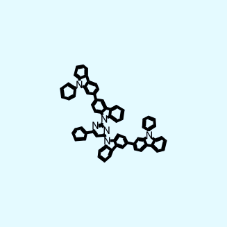 c1ccc(-c2cc(-n3c4ccccc4c4cc(-c5ccc6c7ccccc7n(-c7ccccc7)c6c5)ccc43)nc(-n3c4ccccc4c4cc(-c5ccc6c7ccccc7n(-c7ccccc7)c6c5)ccc43)n2)cc1